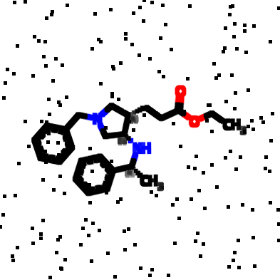 CCOC(=O)CC[C@H]1CN(Cc2ccccc2)C[C@H]1N[C@H](C)c1ccccc1